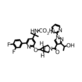 CC(O)c1nn(-c2ncccn2)cc1C(=O)N1C[C@@H]2C(Oc3cc(C(C)(C)NC(=O)O)cc(-c4ccc(F)c(F)c4)n3)[C@@H]2C1